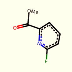 COC(=O)c1cccc(F)n1